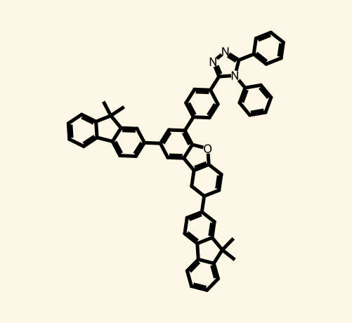 CC1(C)c2ccccc2-c2ccc(-c3cc(-c4ccc(-c5nnc(-c6ccccc6)n5-c5ccccc5)cc4)c4oc5c(c4c3)CC(c3ccc4c(c3)C(C)(C)c3ccccc3-4)C=C5)cc21